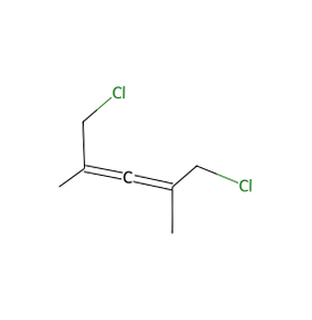 CC(=C=C(C)CCl)CCl